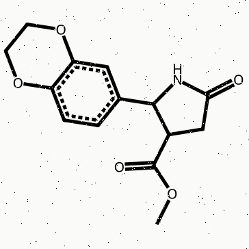 COC(=O)C1CC(=O)NC1c1ccc2c(c1)OCCO2